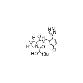 CC(C)(C)[C@@H](O)C(=O)N1C[C@H]2C[C@H]2[C@H]1C(=O)NCc1cc(Cl)ccc1-n1cnnn1